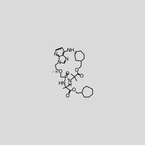 C[C@H](Cn1cnc2c(N)ccnc21)OCP(=O)(NC(C)(C)C(=O)OCC1CCCCCC1)NC(C)(C)C(=O)OCC1CCCCCC1